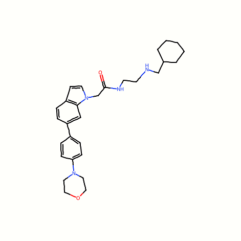 O=C(Cn1ccc2ccc(-c3ccc(N4CCOCC4)cc3)cc21)NCCNCC1CCCCC1